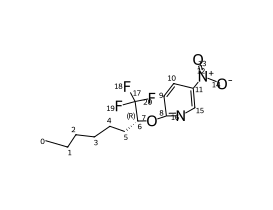 CCCCCC[C@@H](Oc1ccc([N+](=O)[O-])cn1)C(F)(F)F